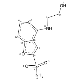 NS(=O)(=O)c1cc2c(NCCO)nccc2o1